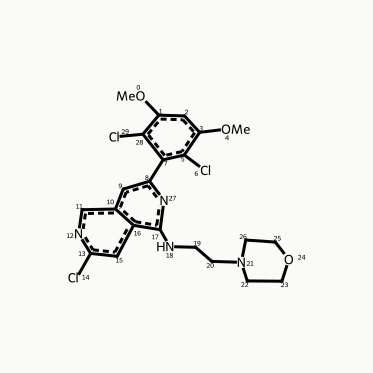 COc1cc(OC)c(Cl)c(-c2cc3cnc(Cl)cc3c(NCCN3CCOCC3)n2)c1Cl